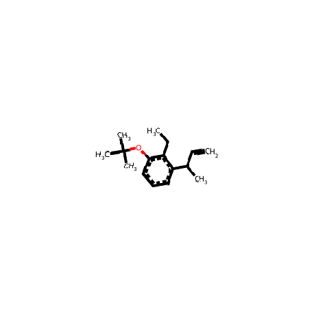 C=C[C](C)c1cccc(OC(C)(C)C)c1CC